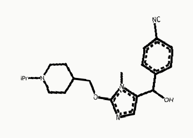 [C-]#[N+]c1ccc(C(O)c2cnc(OCC3CCN(C(C)C)CC3)n2C)cc1